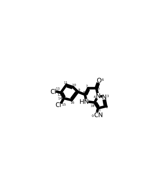 N#Cc1cnn2c(=O)cc(-c3ccc(Cl)c(Cl)c3)[nH]c12